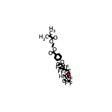 C=C(C)C(=O)OCCOC(=O)c1ccc(OS(=O)(=O)C(F)(F)C(F)(F)C(F)(F)S(=O)(=O)NS(=O)(=O)C(F)(F)F)cc1